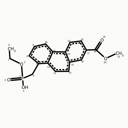 CCOP(=O)(O)Cc1cccc2c1ccc1cc(C(=O)OC)ccc12